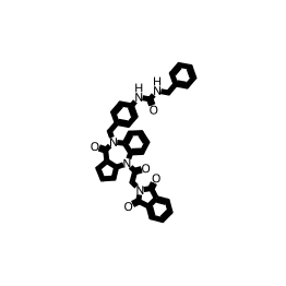 O=C(NCc1ccccc1)Nc1ccc(CN2C(=O)C3CCCC3N(C(=O)CN3C(=O)c4ccccc4C3=O)c3ccccc32)cc1